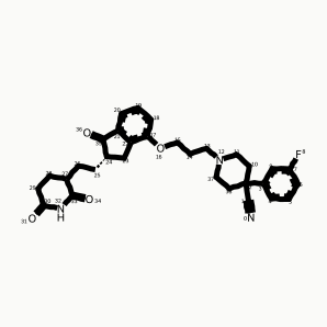 N#CC1(c2cccc(F)c2)CCN(CCCOc2cccc3c2C[C@H](CCC2CCC(=O)NC2=O)C3=O)CC1